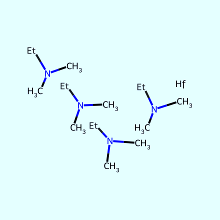 CCN(C)C.CCN(C)C.CCN(C)C.CCN(C)C.[Hf]